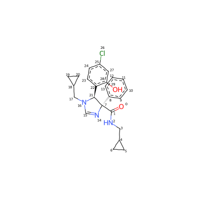 O=C(NCC1CC1)[C@@]1(c2ccccc2)N=CN(CC2CC2)[C@H]1c1ccc(Cl)cc1O